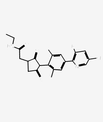 CCNC(=O)CC1CC(=O)C(c2c(C)cc(-c3ncc(Cl)cc3F)cc2C)C1=O